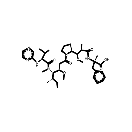 CC[C@H](C)[C@@H]([C@@H](CC(=O)N1CCC[C@H]1[C@H](OC)[C@@H](C)C(=O)N[C@@](C)(Cc1ccccc1)C(=O)O)OC)N(C)C(=O)[C@@H](Nc1cnccn1)C(C)C